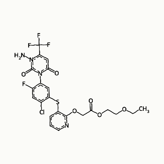 CCOCCOC(=O)COc1ncccc1Sc1cc(-n2c(=O)cc(C(F)(F)F)n(N)c2=O)c(F)cc1Cl